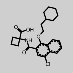 O=C(NC1(C(=O)O)CCC1)c1cc(Cl)c2ccccc2c1OCCC1CCCCC1